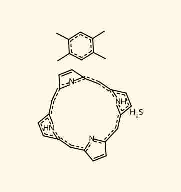 C1=Cc2cc3ccc(cc4nc(cc5ccc(cc1n2)[nH]5)C=C4)[nH]3.Cc1cc(C)c(C)cc1C.S